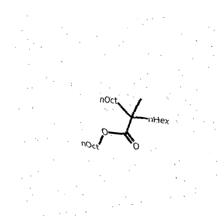 CCCCCCCCOC(=O)C(C)(CCCCCC)CCCCCCCC